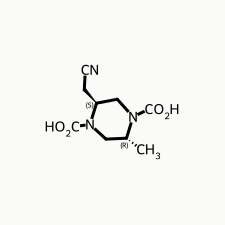 C[C@@H]1CN(C(=O)O)[C@@H](CC#N)CN1C(=O)O